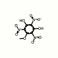 COc1c([N+](=O)[O-])c(O)c([N+](=O)[O-])c(O)c1[N+](=O)[O-]